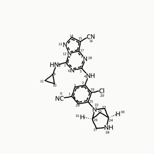 N#Cc1cc(Nc2nc(NC3CC3)n3ncc(C#N)c3n2)c(Cl)c(N2C[C@@H]3C[C@H]2CN3)c1